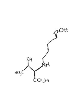 CCCCCCCCCCCCNC(C(=O)O)C(O)C(=O)O